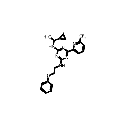 CC(Nc1nc(NCCOc2ccccc2)nc(-c2cccc(C(F)(F)F)n2)n1)C1CC1